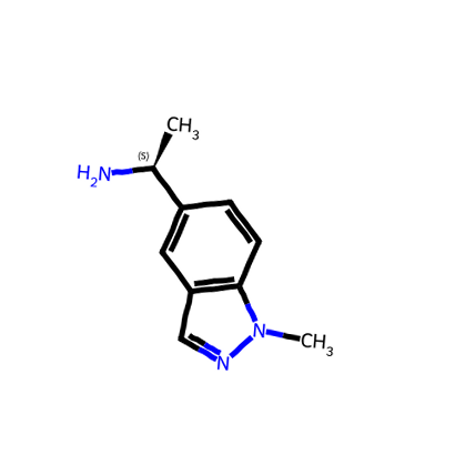 C[C@H](N)c1ccc2c(cnn2C)c1